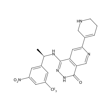 C[C@@H](Nc1n[nH]c(=O)c2cnc(C3=CCCNC3)cc12)c1cc([N+](=O)[O-])cc(C(F)(F)F)c1